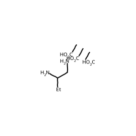 CC(=O)O.CC(=O)O.CC(=O)O.CCC(N)CN